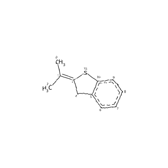 CC(C)=C1Cc2ccccc2S1